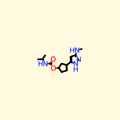 CNc1cc(C2CCC(OC(=O)NC(C)C)C2)[nH]n1